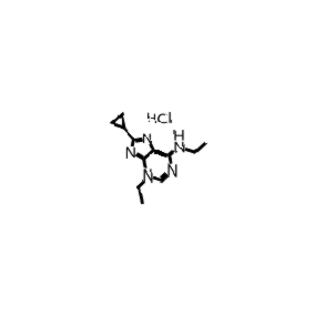 CCNc1ncn(CC)c2nc(C3CC3)nc1-2.Cl